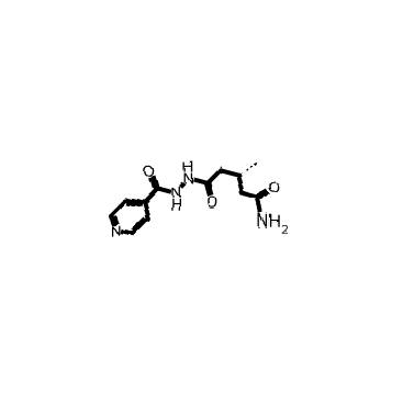 C[C@@H]([CH]C(=O)NNC(=O)c1ccncc1)CC(N)=O